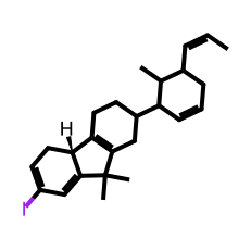 C/C=C\C1CC=CC(C2CCC3=C(C2)C(C)(C)C2=CC(I)=CC[C@@H]23)C1C